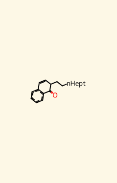 CCCCCCCCCC1C=Cc2ccccc2C1=O